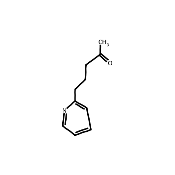 CC(=O)CCCc1ccccn1